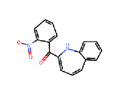 O=C(C1=CC=Cc2ccccc2N1)c1ccccc1[N+](=O)[O-]